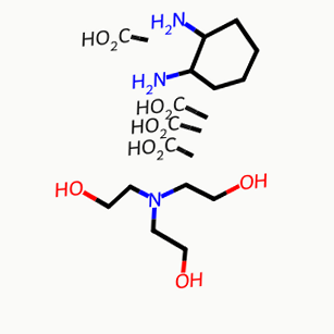 CC(=O)O.CC(=O)O.CC(=O)O.CC(=O)O.NC1CCCCC1N.OCCN(CCO)CCO